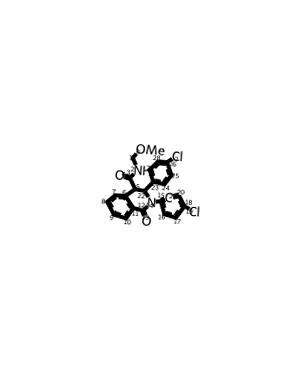 COCNC(=O)C1c2ccccc2C(=O)N(c2ccc(Cl)cc2)C1c1ccc(Cl)cc1